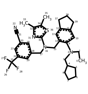 CCN(CC1CCCC1)c1cc2c(cc1CN(Cc1cc(C#N)cc(C(F)(F)F)c1)c1nc(C)c(C)s1)CCC2